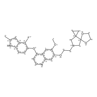 COc1cc2c(Oc3ccc4[nH]c(C)cc4c3F)ccnc2cc1OCCN1CC2(CC2)C2(C1)OCCO2